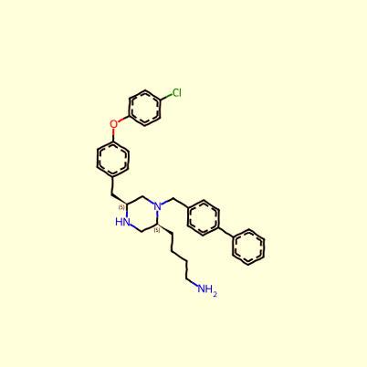 NCCCC[C@H]1CN[C@@H](Cc2ccc(Oc3ccc(Cl)cc3)cc2)CN1Cc1ccc(-c2ccccc2)cc1